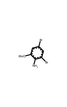 COc1cc(Br)cc(Br)c1N